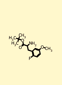 COc1ccc(F)c(CC(N)C(=O)OC(C)(C)C)c1